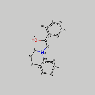 OC(CN1CCCc2ccccc21)c1ccccc1